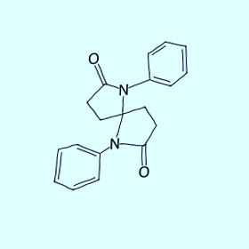 O=C1CCC2(CCC(=O)N2c2ccccc2)N1c1ccccc1